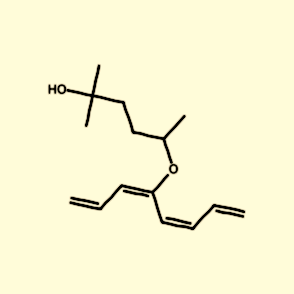 C=C/C=C\C(=C/C=C)OC(C)CCC(C)(C)O